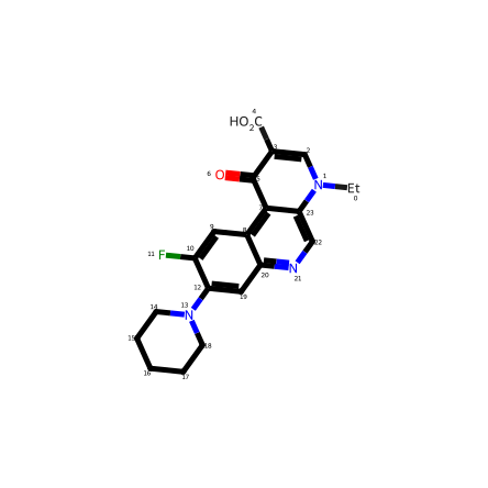 CCn1cc(C(=O)O)c(=O)c2c3cc(F)c(N4CCCCC4)cc3ncc21